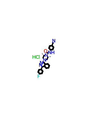 C[C@@H]1CN(c2nnc(-c3ccc(F)cc3)c3ccccc23)C[C@H](C)N1C(=O)Nc1ccc(C#N)cc1.Cl